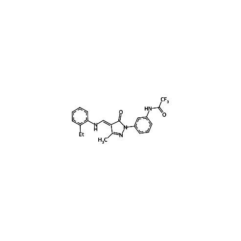 CCc1ccccc1N/C=C1/C(=O)N(c2cccc(NC(=O)C(F)(F)F)c2)N=C1C